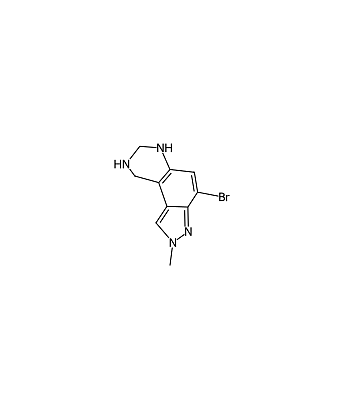 Cn1cc2c3c(cc(Br)c2n1)NCNC3